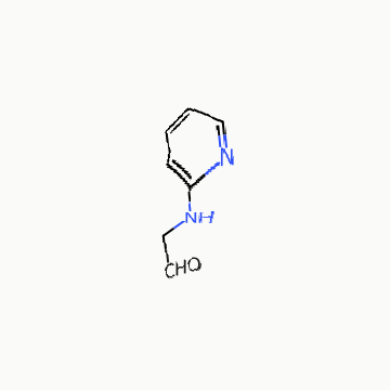 O=CCNc1ccccn1